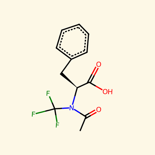 CC(=O)N([C@@H](Cc1ccccc1)C(=O)O)C(F)(F)F